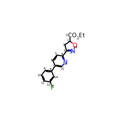 CCOC(=O)C1CC(c2ccc(-c3cccc(F)c3)cn2)=NO1